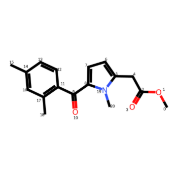 COC(=O)Cc1ccc(C(=O)c2ccc(C)cc2C)n1C